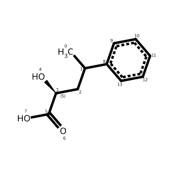 CC(C[C@H](O)C(=O)O)c1ccccc1